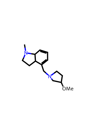 COC1CCN(CC2=CC=CC3C2CCN3C)C1